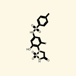 Cc1ccc(S(=O)(=O)Nc2cc(O)c(N3CC(=O)NS3(=O)=O)c(F)c2)cc1